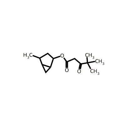 CC1CC(OC(=O)CC(=O)C(C)(C)C)C2CC12